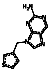 Nc1ncc2ncn(Cc3ccsc3)c2n1